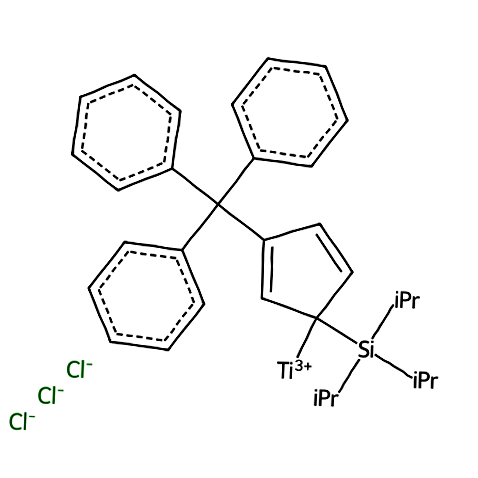 CC(C)[Si](C(C)C)(C(C)C)[C]1([Ti+3])C=CC(C(c2ccccc2)(c2ccccc2)c2ccccc2)=C1.[Cl-].[Cl-].[Cl-]